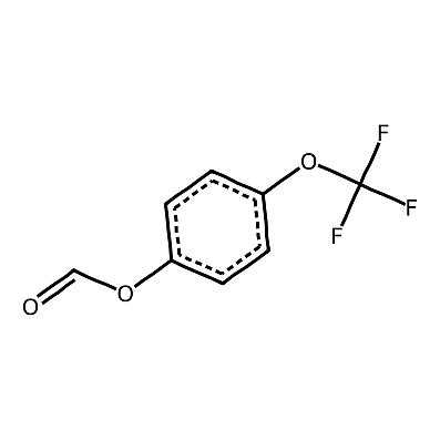 O=COc1ccc(OC(F)(F)F)cc1